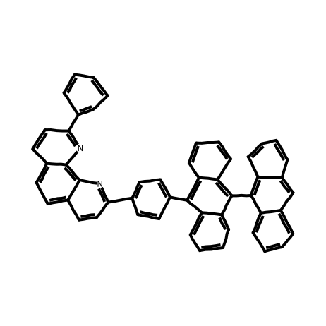 c1ccc(-c2ccc3ccc4ccc(-c5ccc(-c6c7ccccc7c(-c7c8ccccc8cc8ccccc78)c7ccccc67)cc5)nc4c3n2)cc1